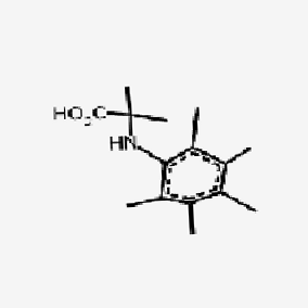 Cc1c(C)c(C)c(NC(C)(C)C(=O)O)c(C)c1C